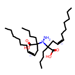 CCCCCC/C=C\CC(CCCC)(C(=O)O)N(N)C(C/C=C\CCCCCC)(CCCC)C(=O)O